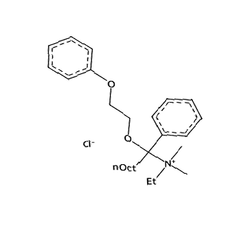 CCCCCCCCC(OCCOc1ccccc1)(c1ccccc1)[N+](C)(C)CC.[Cl-]